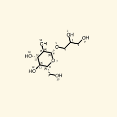 OCC(O)CO[C@@H]1O[C@H](CO)[C@@H](O)[C@H](O)[C@H]1O